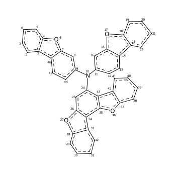 c1ccc2c(c1)oc1cc(N(c3ccc4c(c3)oc3ccccc34)c3cc4oc5ccccc5c4c4oc5ccccc5c34)ccc12